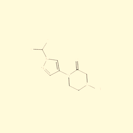 CN1CCN(c2cnn(C(F)F)c2)C(=O)C1